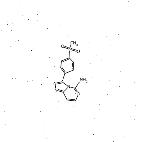 CS(=O)(=O)c1ccc(-c2nnc3ccnc(N)n23)cc1